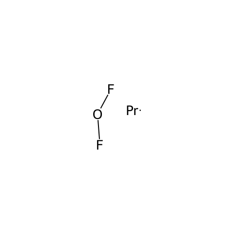 FOF.[Pr]